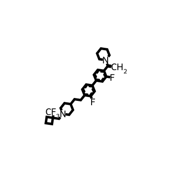 C=C(c1ccc(-c2ccc(CCC3CCN(CC4(C(F)(F)F)CCC4)CC3)c(F)c2)cc1F)N1CCCCC1